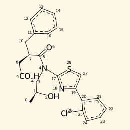 C[C@H](O)CN(C(=O)[C@@H](CC(=O)O)Cc1ccccc1)c1nc(-c2ccccc2Cl)cs1